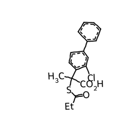 CCC(=O)SC(C)(C(=O)O)c1ccc(-c2ccccc2)cc1Cl